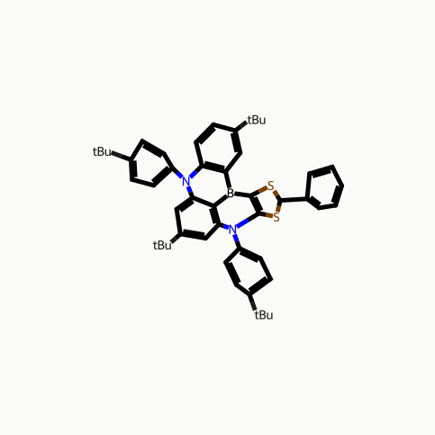 CC(C)(C)c1ccc(N2C3=C(SC(c4ccccc4)S3)B3c4cc(C(C)(C)C)ccc4N(c4ccc(C(C)(C)C)cc4)c4cc(C(C)(C)C)cc2c43)cc1